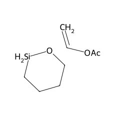 C1CC[SiH2]OC1.C=COC(C)=O